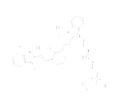 CCC[N+]1=C(/C=C/C2CCC/C(=C\C=C3\N(CCC(=O)NCCC[Si](OCC)(OCC)OCC)c4ccccc4C3(C)C)C2Cl)C(C)(C)c2ccccc21